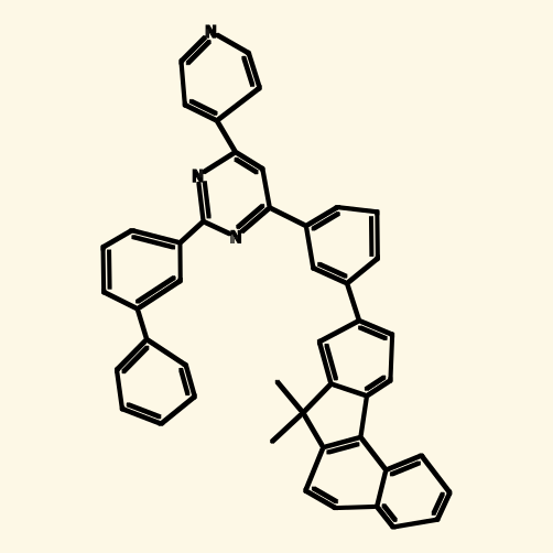 CC1(C)c2cc(-c3cccc(-c4cc(-c5ccncc5)nc(-c5cccc(-c6ccccc6)c5)n4)c3)ccc2-c2c1ccc1ccccc21